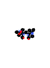 c1ccc(-c2cc(-c3c(-c4ccccc4)c(-c4ccccc4)nn3-c3ccccc3)cc(-c3cccc(-c4cc(-c5c(-c6ccccc6)c(-c6ccccc6)nn5-c5ccccc5)cc(-c5ccccc5)n4)c3)n2)cc1